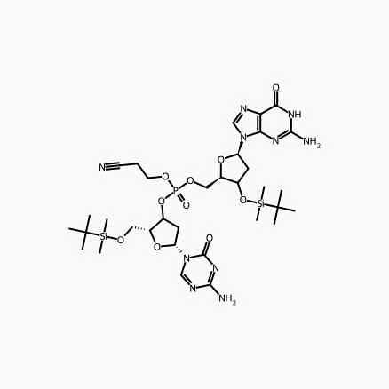 CC(C)(C)[Si](C)(C)OC[C@H]1O[C@@H](n2cnc(N)nc2=O)CC1OP(=O)(OCCC#N)OC[C@H]1O[C@@H](n2cnc3c(=O)[nH]c(N)nc32)CC1O[Si](C)(C)C(C)(C)C